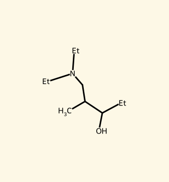 CCC(O)C(C)CN(CC)CC